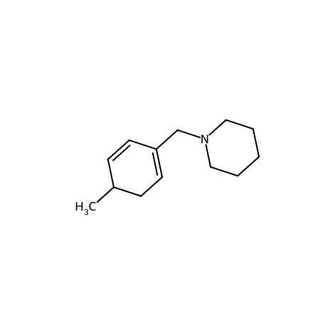 CC1C=CC(CN2CCCCC2)=CC1